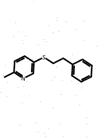 Cc1ccc(SCCc2ccccc2)cn1